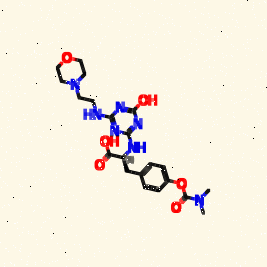 CN(C)C(=O)Oc1ccc(C[C@H](Nc2nc(O)nc(NCCN3CCOCC3)n2)C(=O)O)cc1